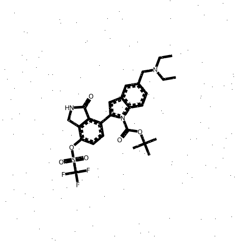 CCN(CC)Cc1ccc2c(c1)cc(-c1ccc(OS(=O)(=O)C(F)(F)F)c3c1C(=O)NC3)n2C(=O)OC(C)(C)C